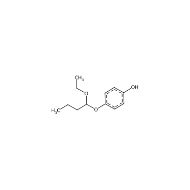 CCCC(OCC)Oc1ccc(O)cc1